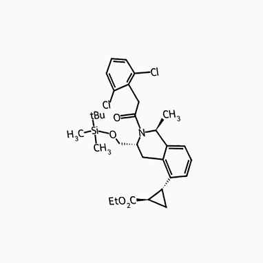 CCOC(=O)[C@@H]1C[C@H]1c1cccc2c1C[C@H](CO[Si](C)(C)C(C)(C)C)N(C(=O)Cc1c(Cl)cccc1Cl)[C@H]2C